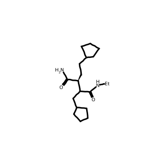 CCNC(=O)C(CC1CCCC1)[C@H](CCC1CCCC1)C(N)=O